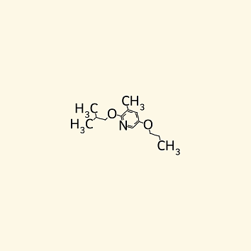 CCCOc1cnc(OCC(C)C)c(C)c1